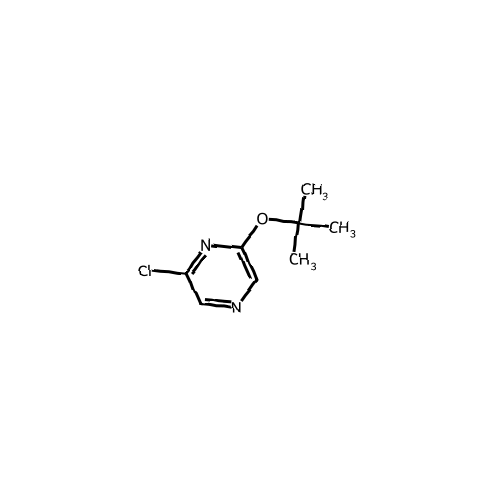 CC(C)(C)Oc1cncc(Cl)n1